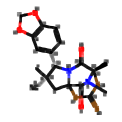 CN1C(=O)C23C[C@](C)(C#N)[C@H](c4ccc5c(c4)OCO5)N2C(=O)[C@]1(C)SC(=S)S3